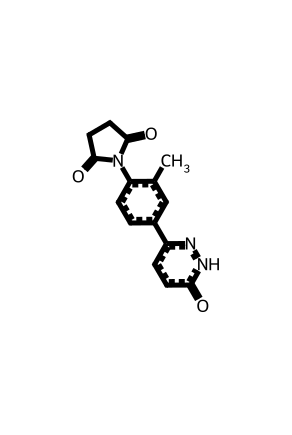 Cc1cc(-c2ccc(=O)[nH]n2)ccc1N1C(=O)CCC1=O